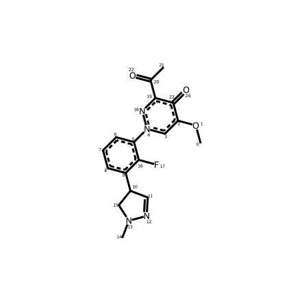 COc1cn(-c2cccc(C3C=NN(C)C3)c2F)nc(C(C)=O)c1=O